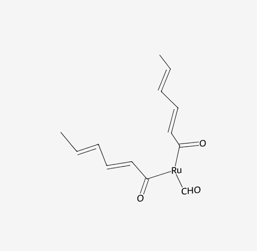 CC=CC=C[C](=O)[Ru]([CH]=O)[C](=O)C=CC=CC